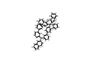 c1ccc(-c2cccc(N(c3cccc(-c4ccc5c(c4)-c4ccccc4C54c5ccc6ccccc6c5Oc5c4ccc4ccccc54)c3)c3ccc4ccccc4c3)c2)cc1